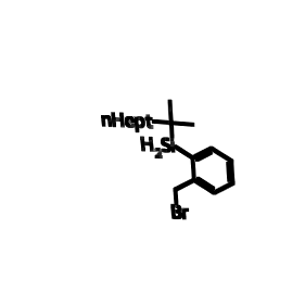 CCCCCCCC(C)(C)[SiH2]c1ccccc1CBr